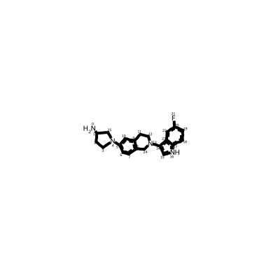 NC1CCN(c2ccc3c(c2)CCN(c2c[nH]c4ccc(F)cc24)C3)C1